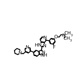 CN(C)CCOc1cc(F)cc(-c2nccc3[nH]c(-c4n[nH]c5ccc(-c6cncc(CN7CCCCC7)c6)cc45)nc23)c1